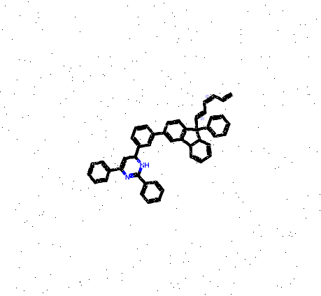 C=C/C=C\C=C\C1(c2ccccc2)c2ccc(-c3cccc(C4C=C(c5ccccc5)N=C(c5ccccc5)N4)c3)cc2C2C=CC=CC21